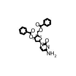 Nc1ccn(C2C[C@H](OC(=O)c3ccccc3)[C@@H](COC(=O)c3ccccc3)S2)c(=O)n1